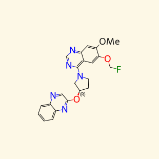 COc1cc2ncnc(N3CC[C@@H](Oc4cnc5ccccc5n4)C3)c2cc1OCF